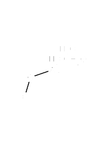 Cl[O][Au].O.O.O